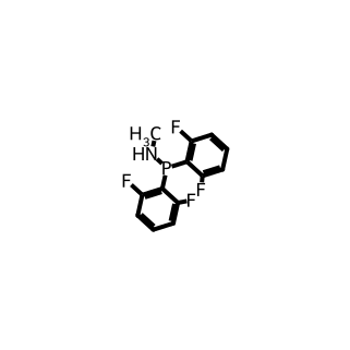 CNP(c1c(F)cccc1F)c1c(F)cccc1F